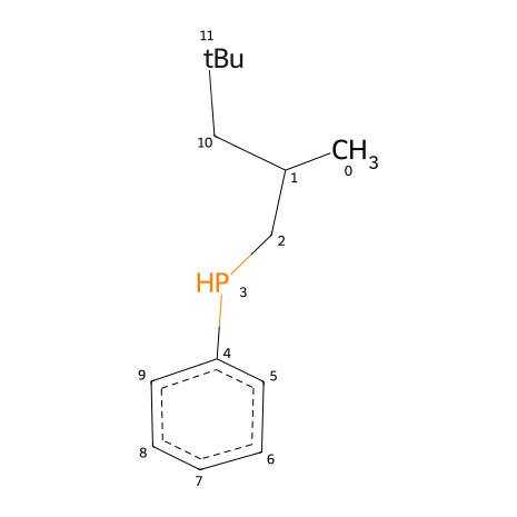 CC(CPc1ccccc1)CC(C)(C)C